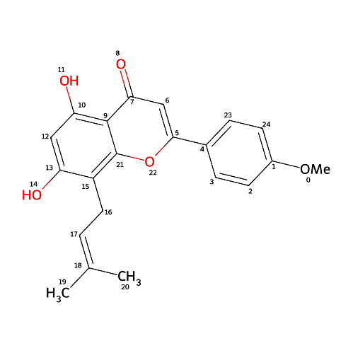 COc1ccc(-c2cc(=O)c3c(O)cc(O)c(CC=C(C)C)c3o2)cc1